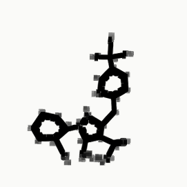 NC(=O)c1c(Cc2ccc(C(F)(F)F)cn2)nn(-c2ccccc2Cl)c1N